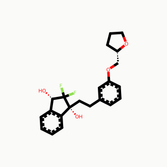 O[C@H]1c2ccccc2[C@](O)(CCc2cccc(OC[C@@H]3CCCO3)c2)C1(F)F